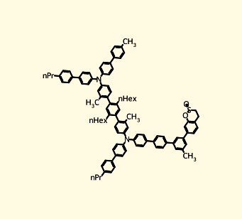 CCCCCCc1cc(-c2ccc(N(c3ccc(-c4ccc(CCC)cc4)cc3)c3ccc(-c4ccc(-c5cc(C)cc(-c6ccc7c(c6)OS(=O)CC7)c5)cc4)cc3)cc2C)c(CCCCCC)cc1-c1ccc(N(c2ccc(-c3ccc(C)cc3)cc2)c2ccc(-c3ccc(CCC)cc3)cc2)cc1C